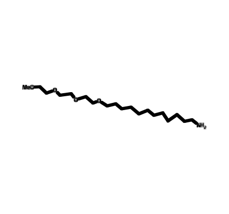 COCCOCCOCCOCCCCCCCCCCCCN